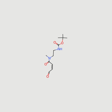 CN(CCNC(=O)OC(C)(C)C)C(=O)/C=C\C=O